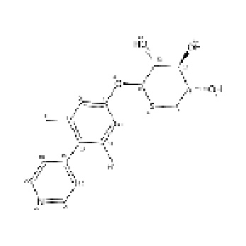 Cc1cc(O[C@@H]2SC[C@@H](O)[C@H](O)[C@H]2O)cc(C)c1-c1ccncc1